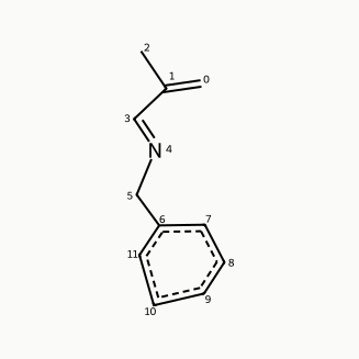 C=C(C)C=NCc1ccccc1